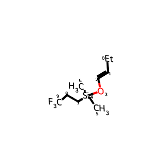 CCC=CO[Si](C)(C)CCC(F)(F)F